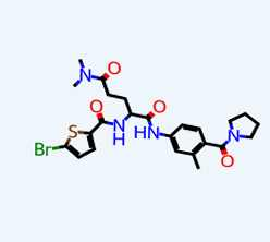 Cc1cc(NC(=O)C(CCC(=O)N(C)C)NC(=O)c2ccc(Br)s2)ccc1C(=O)N1CCCC1